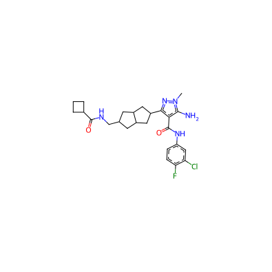 Cn1nc(C2CC3CC(CNC(=O)C4CCC4)CC3C2)c(C(=O)Nc2ccc(F)c(Cl)c2)c1N